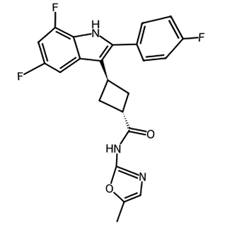 Cc1cnc(NC(=O)[C@H]2C[C@H](c3c(-c4ccc(F)cc4)[nH]c4c(F)cc(F)cc43)C2)o1